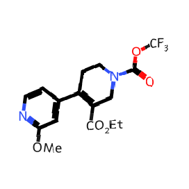 CCOC(=O)C1=C(c2ccnc(OC)c2)CCN(C(=O)OC(F)(F)F)C1